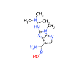 CC(Nc1nc2c(/C(N)=N/O)ccnc2n1C)N(C)C